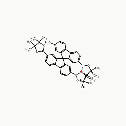 Cc1ccc2c(c1)C1(c3cc(B4OC(C)(C)C(C)(C)O4)ccc3-2)c2cc(B3OC(C)(C)C(C)(C)O3)ccc2-c2ccc(B3OC(C)(C)C(C)(C)O3)cc21